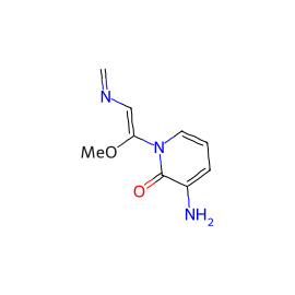 C=N/C=C(\OC)n1cccc(N)c1=O